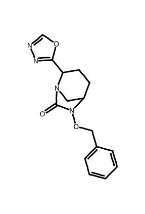 O=C1N2CC(CCC2c2nnco2)N1OCc1ccccc1